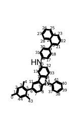 Cc1cc(C)c(-c2ccc3c(c2)c2cc(Nc4ccc(-c5cccc6ccccc56)cc4)ccc2n3-c2ccccc2)c(C)c1